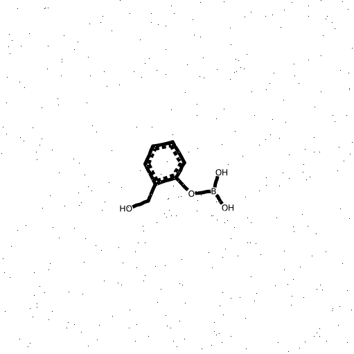 OCc1ccccc1OB(O)O